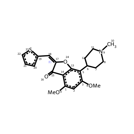 COc1cc(OC)c(C2CCN(C)CC2)c2c1C(=O)/C(=C\c1cccs1)O2